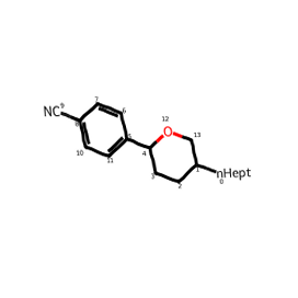 CCCCCCCC1CCC(c2ccc(C#N)cc2)OC1